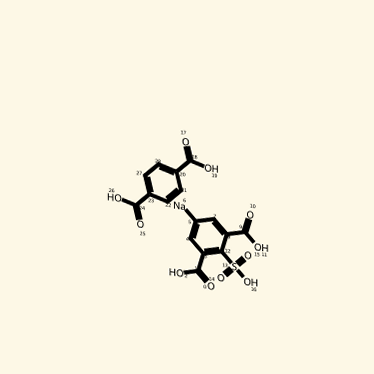 O=C(O)c1c[c]([Na])cc(C(=O)O)c1S(=O)(=O)O.O=C(O)c1ccc(C(=O)O)cc1